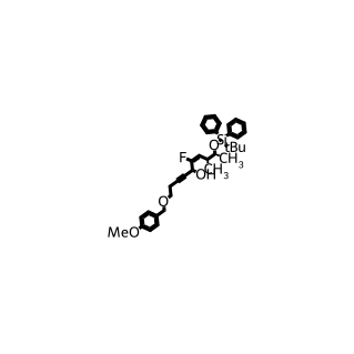 COc1ccc(COCCC#CC(O)/C(F)=C\[C@H](C)[C@H](C)O[Si](c2ccccc2)(c2ccccc2)C(C)(C)C)cc1